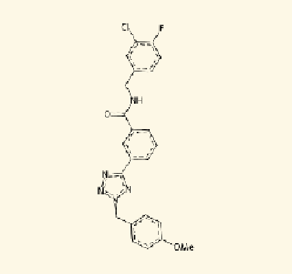 COc1ccc(Cn2nnc(-c3cccc(C(=O)NCc4ccc(F)c(Cl)c4)c3)n2)cc1